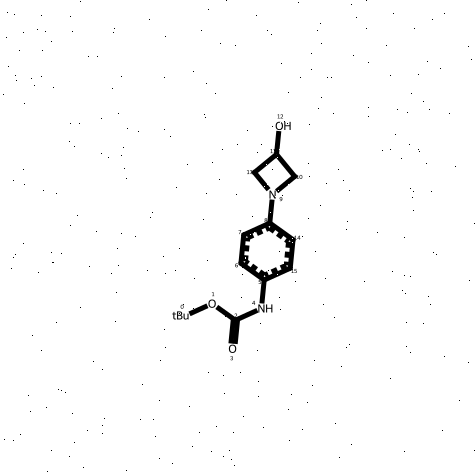 CC(C)(C)OC(=O)Nc1ccc(N2CC(O)C2)cc1